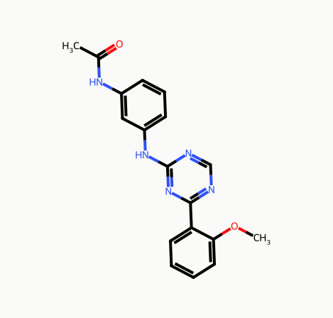 COc1ccccc1-c1ncnc(Nc2cccc(NC(C)=O)c2)n1